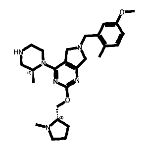 COc1ccc(C)c(CN2Cc3nc(OC[C@@H]4CCCN4C)nc(N4CCNC[C@@H]4C)c3C2)c1